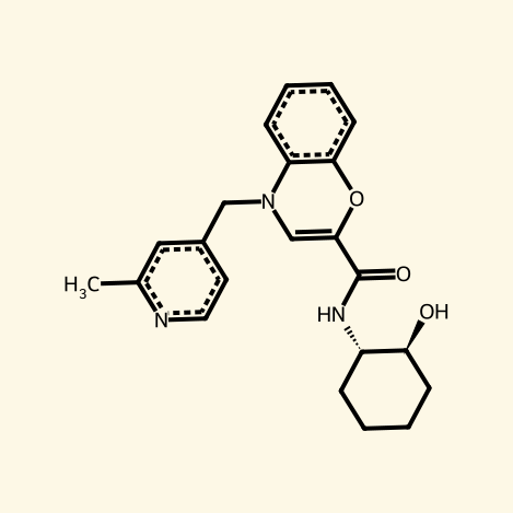 Cc1cc(CN2C=C(C(=O)N[C@H]3CCCC[C@@H]3O)Oc3ccccc32)ccn1